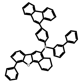 C1=Cc2c(c(N(c3ccc(-c4cc5ccccc5c5ccccc45)cc3)c3cccc(-c4ccccc4)c3)cc3c2oc2c(-c4ccccc4)cccc23)CC1